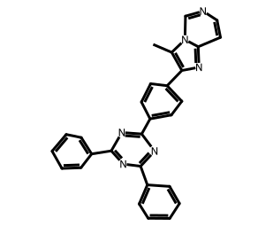 Cc1c(-c2ccc(-c3nc(-c4ccccc4)nc(-c4ccccc4)n3)cc2)nc2ccncn12